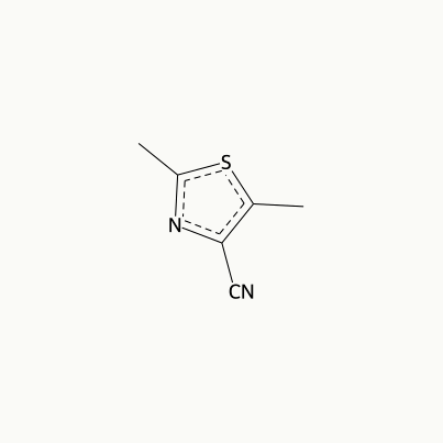 Cc1nc(C#N)c(C)s1